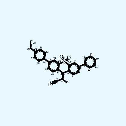 C/C(C#N)=C1\c2ccc(-c3ccccc3)cc2S(=O)(=O)c2cc(-c3ccc(CF)cc3)ccc21